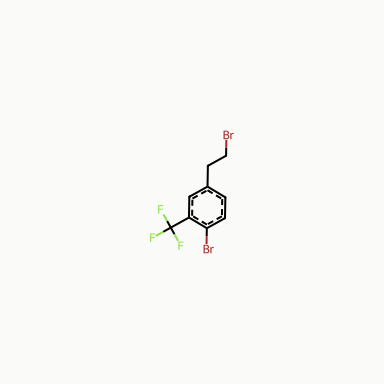 FC(F)(F)c1cc(CCBr)ccc1Br